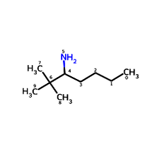 CCCCC(N)C(C)(C)C